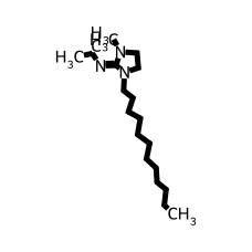 CCCCCCCCCCCCN1CCN(C)/C1=N\C(C)C